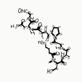 CCCCCCCCCCCCCC(=O)N(C)[C@H](CO)C(=O)N[C@H](C)C(=O)NCC(=O)N1CCC[C@H]1C(=O)N[C@@H](C)C(=O)N[C@@H](CC(N)=O)C(=O)NCC=O